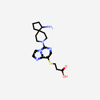 NC1CCCC12CCN(c1ncc(SCCC(=O)O)c3nccn13)CC2